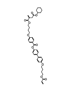 C=CC(=O)OCCCCOc1ccc(-c2ccc(OC(=O)c3ccc(OCCCCOC(=O)C(=C)CC(=O)OC4CCCCC4)cc3)cc2)cc1